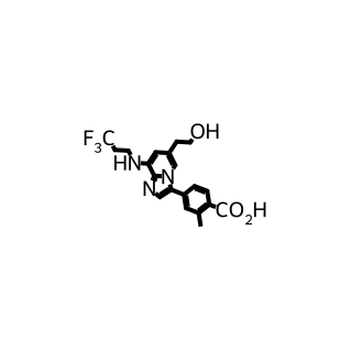 Cc1cc(-c2cnc3c(NCCC(F)(F)F)cc(CCO)cn23)ccc1C(=O)O